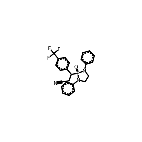 N#CCC(c1ccc(C(F)(F)F)cc1)P1(=O)N(c2ccccc2)CCN1c1ccccc1